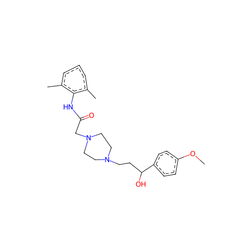 COc1ccc(C(O)CCN2CCN(CC(=O)Nc3c(C)cccc3C)CC2)cc1